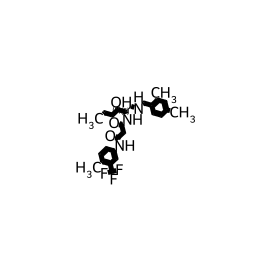 CCC[C@H](O)[C@H](CNCc1ccc(C)cc1C)NC(=O)CC(=O)Nc1ccc(C)c(C(F)(F)F)c1